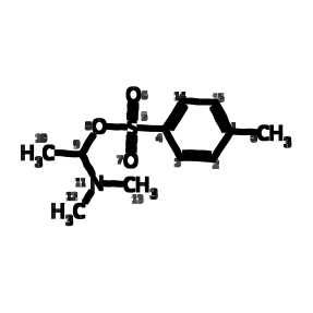 Cc1ccc(S(=O)(=O)OC(C)N(C)C)cc1